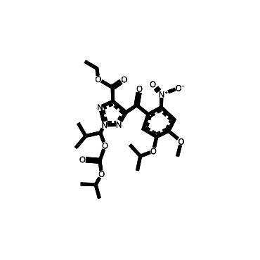 CCOC(=O)c1nn(C(OC(=O)OC(C)C)C(C)C)nc1C(=O)c1cc(OC(C)C)c(OC)cc1[N+](=O)[O-]